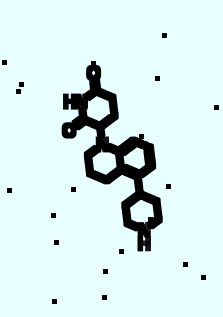 O=C1CCC(N2CCCc3c(C4CCNCC4)cccc32)C(=O)N1